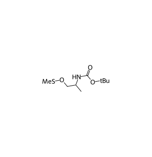 CSOCC(C)NC(=O)OC(C)(C)C